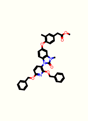 COC(=O)Cc1ccc(Oc2ccc3c(c2)n(C)c(=O)n3-c2ccc(OCc3ccccc3)nc2OCc2ccccc2)c(C)c1